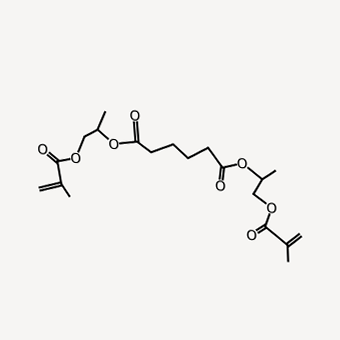 C=C(C)C(=O)OCC(C)OC(=O)CCCCC(=O)OC(C)COC(=O)C(=C)C